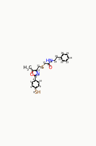 Cc1oc(-c2ccc(S)cc2)nc1CSCC(=O)NCCc1ccccc1